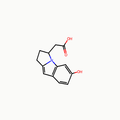 O=C(O)CC1CCc2cc3ccc(O)cc3n21